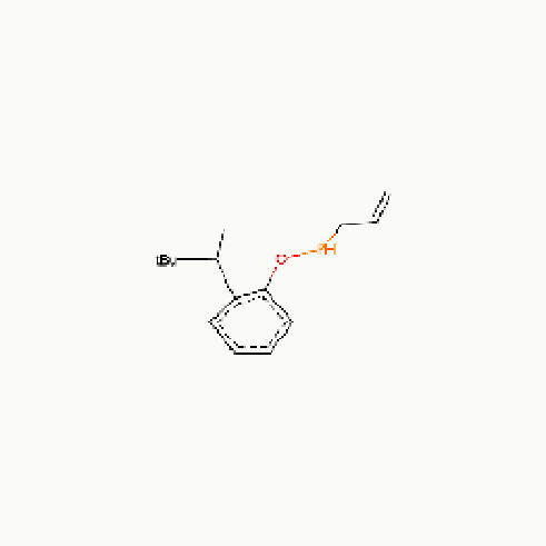 C=CCPOc1ccccc1C(C)C(C)(C)C